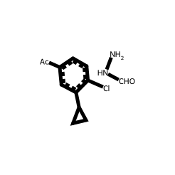 CC(=O)c1ccc(Cl)c(C2CC2)c1.NNC=O